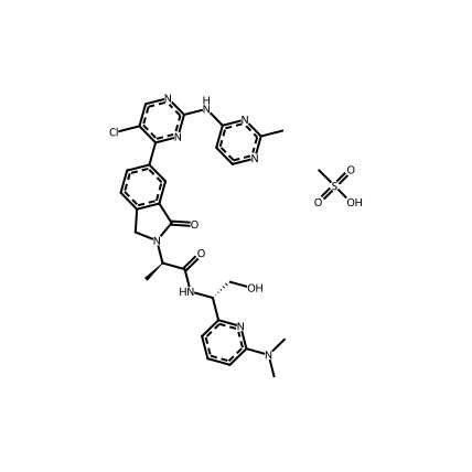 CS(=O)(=O)O.Cc1nccc(Nc2ncc(Cl)c(-c3ccc4c(c3)C(=O)N([C@H](C)C(=O)N[C@H](CO)c3cccc(N(C)C)n3)C4)n2)n1